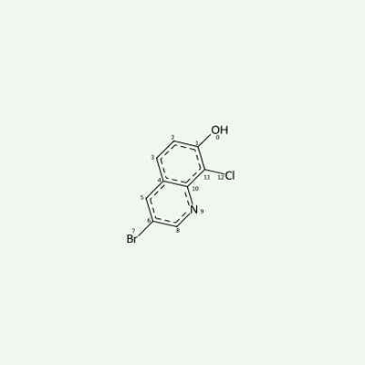 Oc1ccc2cc(Br)cnc2c1Cl